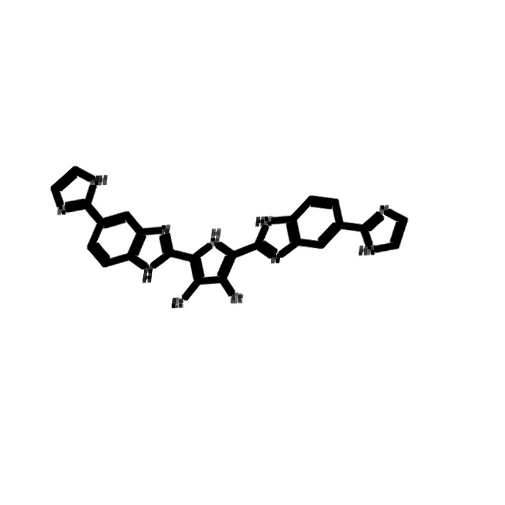 CCc1c(-c2nc3cc(-c4ncc[nH]4)ccc3[nH]2)[nH]c(-c2nc3cc(-c4ncc[nH]4)ccc3[nH]2)c1CC